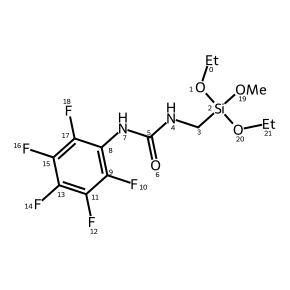 CCO[Si](CNC(=O)Nc1c(F)c(F)c(F)c(F)c1F)(OC)OCC